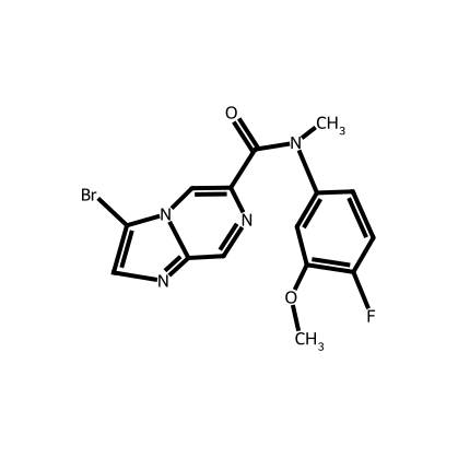 COc1cc(N(C)C(=O)c2cn3c(Br)cnc3cn2)ccc1F